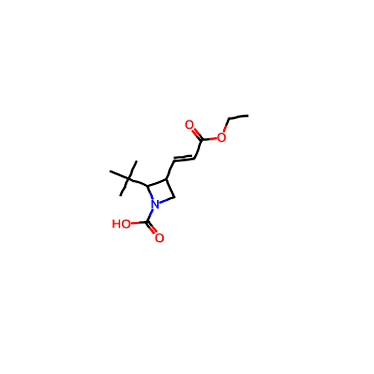 CCOC(=O)C=CC1CN(C(=O)O)C1C(C)(C)C